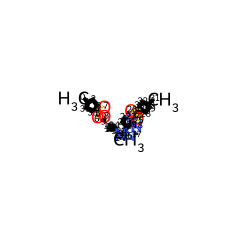 Cc1ccc(S(=O)(=O)OC[C@H]2C[C@H](N(C)c3ncnc4c3ccn4S(=O)(=O)c3ccc(C)cc3)C2)cc1